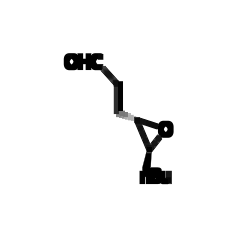 CCCC[C@@H]1O[C@H]1/C=C/C=O